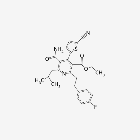 CCOC(=O)c1c(CCc2ccc(F)cc2)nc(CC(C)C)c(C(N)=O)c1-c1ccc(C#N)s1